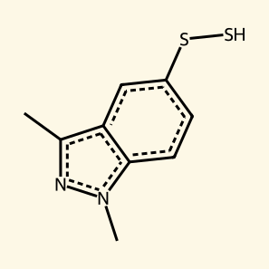 Cc1nn(C)c2ccc(SS)cc12